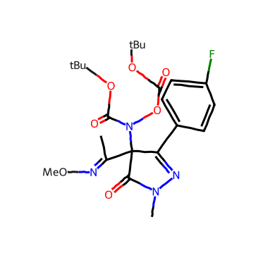 CON=C(C)C1(N(OC(=O)OC(C)(C)C)C(=O)OC(C)(C)C)C(=O)N(C)N=C1c1ccc(F)cc1